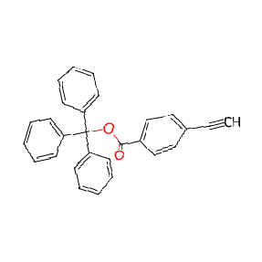 C#Cc1ccc(C(=O)OC(c2ccccc2)(c2ccccc2)c2ccccc2)cc1